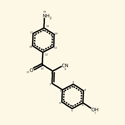 N#C/C(=C\c1ccc(O)cc1)C(=O)c1ccc(N)cc1